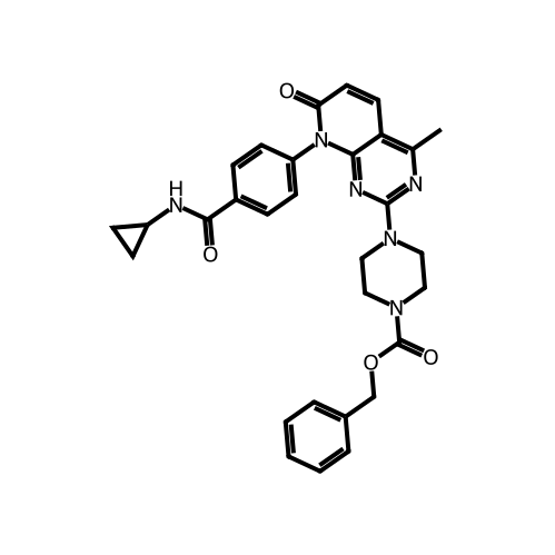 Cc1nc(N2CCN(C(=O)OCc3ccccc3)CC2)nc2c1ccc(=O)n2-c1ccc(C(=O)NC2CC2)cc1